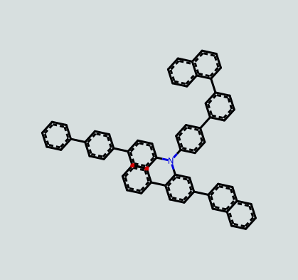 c1ccc(-c2ccc(-c3ccc(N(c4ccc(-c5cccc(-c6cccc7ccccc67)c5)cc4)c4cc(-c5ccc6ccccc6c5)ccc4-c4ccccc4)cc3)cc2)cc1